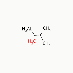 CC(C)[CH2][AlH2].O